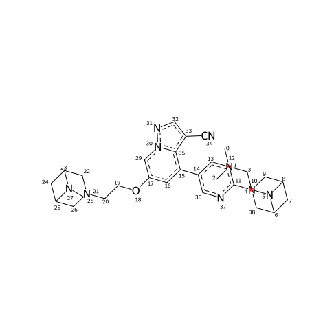 CN(C)CCN1C2CC1CN(c1ccc(-c3cc(OCCN4CC5CC(C4)N5C)cn4ncc(C#N)c34)cn1)C2